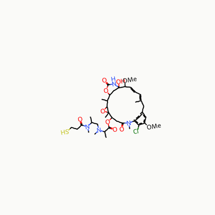 COc1cc2cc(c1Cl)N(C)C(=O)CC(OC(=O)C(C)N(C)CC(C)N(C)C(=O)CCS)C1(C)OC1C(C)C1CC(O)(NC(=O)O1)C(OC)/C=C/C=C(\C)C2